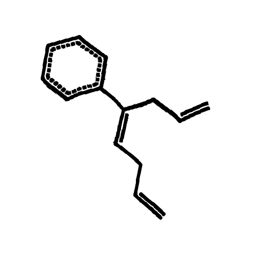 C=CC/C=C(\CC=C)c1ccccc1